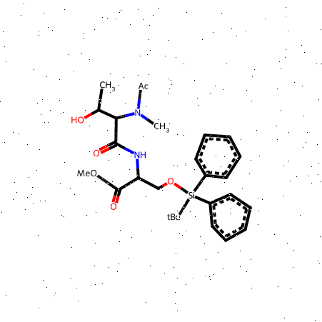 COC(=O)C(CO[Si](c1ccccc1)(c1ccccc1)C(C)(C)C)NC(=O)C(C(C)O)N(C)C(C)=O